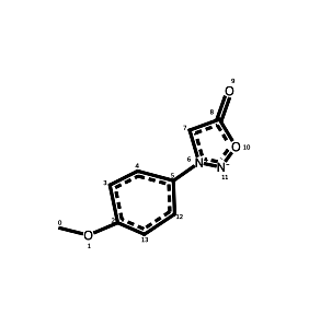 COc1ccc(-[n+]2cc(=O)o[n-]2)cc1